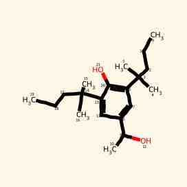 CCCC(C)(C)c1cc(C(C)O)cc(C(C)(C)CCC)c1O